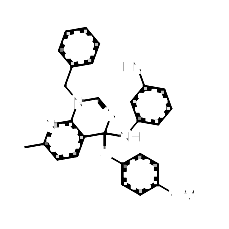 COc1ccc(OC2(Nc3cccc(N)c3)N=CN(Cc3ccccc3)c3nc(C)ccc32)cc1